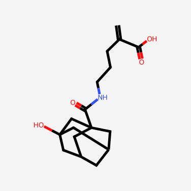 C=C(CCCNC(=O)C12CC3CC(CC(O)(C3)C1)C2)C(=O)O